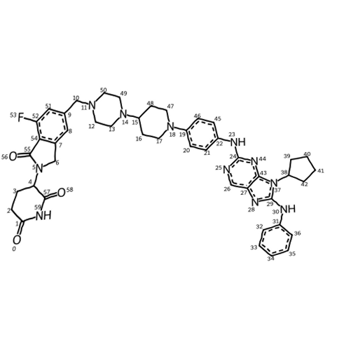 O=C1CCC(N2Cc3cc(CN4CCN(C5CCN(c6ccc(Nc7ncc8nc(Nc9ccccc9)n(C9CCCC9)c8n7)cc6)CC5)CC4)cc(F)c3C2=O)C(=O)N1